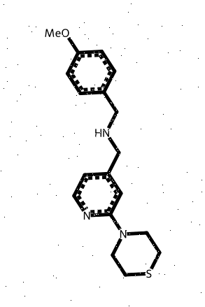 COc1ccc(CNCc2ccnc(N3CCSCC3)c2)cc1